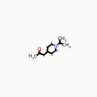 CC(=O)CC1CCN(C(C)C)CC1